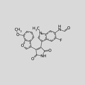 COc1cccc2c(C3=C(c4cn(C)c5cc(NC=O)c(F)cc45)C(=O)NC3=O)coc12